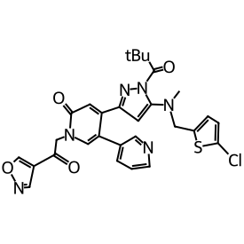 CN(Cc1ccc(Cl)s1)c1cc(-c2cc(=O)n(CC(=O)c3cnoc3)cc2-c2cccnc2)nn1C(=O)C(C)(C)C